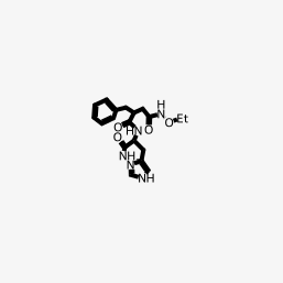 CCONC(=O)CC(Cc1ccccc1)C(=O)NC(Cc1c[nH]cn1)C(N)=O